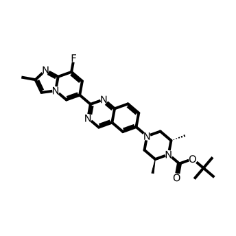 Cc1cn2cc(-c3ncc4cc(N5C[C@H](C)N(C(=O)OC(C)(C)C)[C@@H](C)C5)ccc4n3)cc(F)c2n1